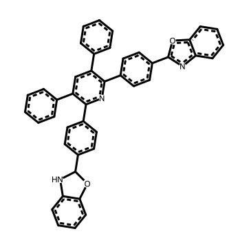 c1ccc(-c2cc(-c3ccccc3)c(-c3ccc(C4Nc5ccccc5O4)cc3)nc2-c2ccc(-c3nc4ccccc4o3)cc2)cc1